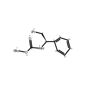 CC(C)C[C@H](NC(=O)OC(C)(C)C)c1ccccc1